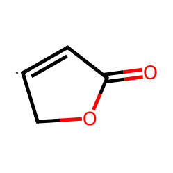 O=C1C=[C]CO1